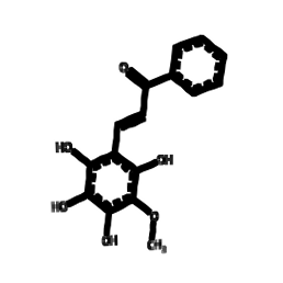 COc1c(O)c(O)c(O)c(C=CC(=O)c2ccccc2)c1O